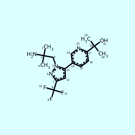 CC(C)(N)Cn1nc(C(F)(F)F)cc1-c1ccc(C(C)(C)O)nc1